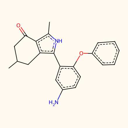 Cc1[nH]c(-c2cc(N)ccc2Oc2ccccc2)c2c1C(=O)CC(C)C2